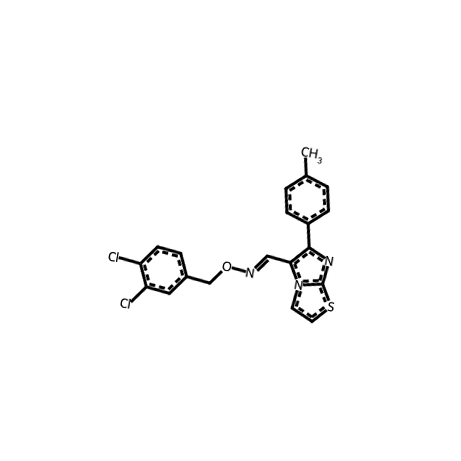 Cc1ccc(-c2nc3sccn3c2/C=N/OCc2ccc(Cl)c(Cl)c2)cc1